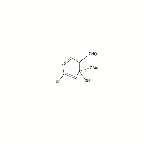 COC1(O)C=C(Br)C=CC1C=O